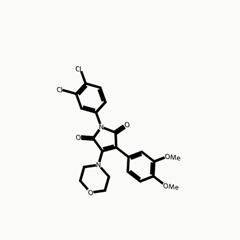 COc1ccc(C2=C(N3CCOCC3)C(=O)N(c3ccc(Cl)c(Cl)c3)C2=O)cc1OC